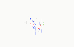 CC1CN(C#N)C(C)[C@@H]1NC(=O)c1cc(-c2ccncc2Oc2ccc(F)cc2)[nH]n1